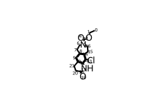 CCOC(=O)N1CCc2cc3c(c(Cl)c2CC1)NC(=O)CC3